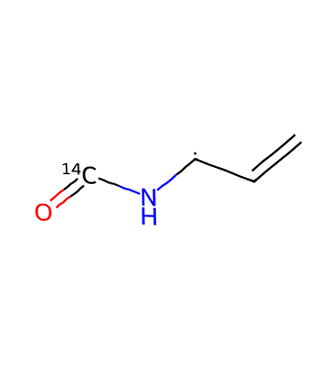 C=C[CH]N[14CH]=O